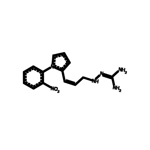 NC(N)=NNC/C=C\c1cccn1-c1ccccc1[N+](=O)[O-]